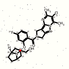 Cc1nc2c3c(nn2c(C)c1Cl)CN(C(=O)c1ccc(F)cc1O[C@@H]1CC2CC[C@H](C1)N2CCO)C3